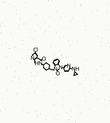 Cc1ncc(Cl)cc1C(=O)NC1CCC(Cn2c(=O)n(-c3ccc(NC4CC4)nc3)c3ccccc32)CC1